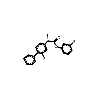 C[C@@H](C(=O)Oc1cccc(F)c1)c1ccc(-c2ccccc2)c(F)c1